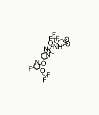 Cc1c(C(=O)NC2(CC(F)(F)F)CCS(=O)(=O)CC2)nc2ccc(Oc3ncc(F)cc3OCC(F)F)cn12